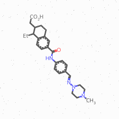 CCC1c2ccc(C(=O)Nc3ccc(C=NN4CCN(C)CC4)cc3)cc2CCC1CC(=O)O